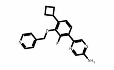 Nc1cnc(-c2ccc(C3CCC3)c(OCc3ccncc3)c2F)cn1